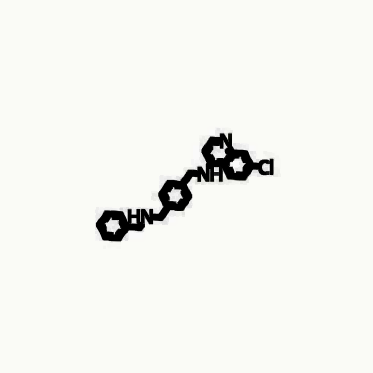 Clc1ccc2c(NCc3ccc(CNCc4ccccc4)cc3)ccnc2c1